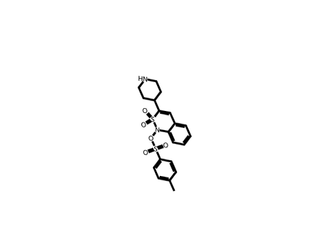 Cc1ccc(S(=O)(=O)ON2c3ccccc3C=C(C3CCNCC3)S2(=O)=O)cc1